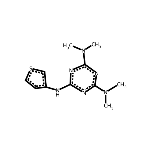 CN(C)c1nc(Nc2ccsc2)nc(N(C)C)n1